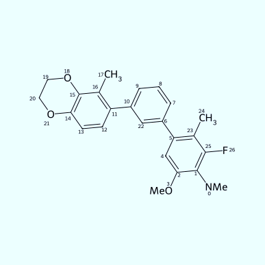 CNc1c(OC)cc(-c2cccc(-c3ccc4c(c3C)OCCO4)c2)c(C)c1F